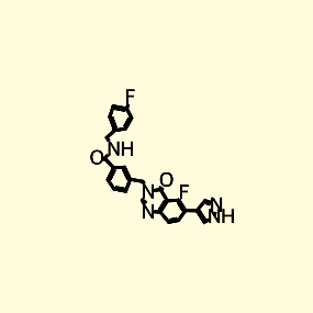 O=C(NCc1ccc(F)cc1)c1cccc(Cn2cnc3ccc(-c4cn[nH]c4)c(F)c3c2=O)c1